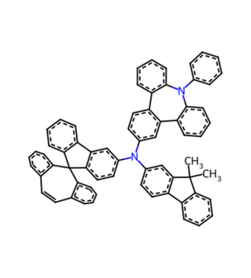 CC1(C)c2ccccc2-c2ccc(N(c3ccc4c(c3)-c3ccccc3N(c3ccccc3)c3ccccc3-4)c3ccc4c(c3)-c3ccccc3C43c4ccccc4C=Cc4ccccc43)cc21